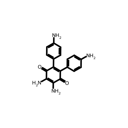 NC1=C(N)C(=O)C(c2ccc(N)cc2)=C(c2ccc(N)cc2)C1=O